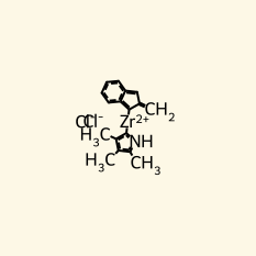 C=C1C=c2ccccc2=[C]1[Zr+2][c]1[nH]c(C)c(C)c1C.[Cl-].[Cl-]